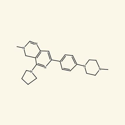 CN1C=Nc2cc(-c3ccc(N4CCN(C)CC4)cc3)nc(N3CCCC3)c2C1